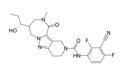 CC[C@@H](O)C1CN(C)C(=O)c2c3c(nn2C1)CCN(C(=O)Nc1ccc(F)c(C#N)c1F)C3